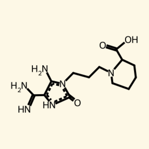 N=C(N)c1[nH]c(=O)n(CCCN2CCCCC2C(=O)O)c1N